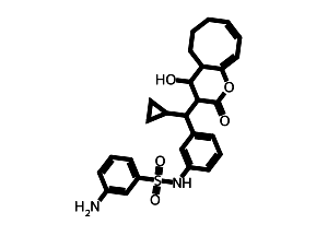 Nc1cccc(S(=O)(=O)Nc2cccc(C(C3CC3)C3C(=O)OC4=CC=CCCCC4C3O)c2)c1